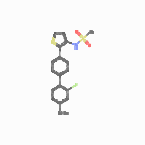 CC(=O)Nc1ccc(-c2ccc(-c3sccc3NS(=O)(=O)C(C)C)cc2)c(F)c1